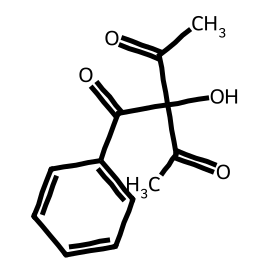 CC(=O)C(O)(C(C)=O)C(=O)c1ccccc1